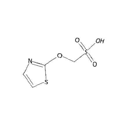 O=S(=O)(O)COc1nccs1